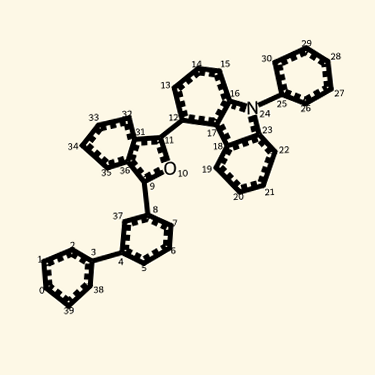 c1ccc(-c2cccc(-c3oc(-c4cccc5c4c4ccccc4n5-c4ccccc4)c4ccccc34)c2)cc1